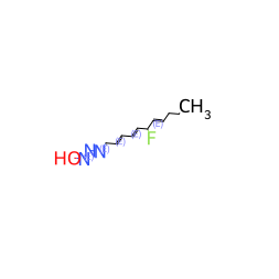 CCC/C=C/C(F)/C=C/C=C/C=N/N=N/O